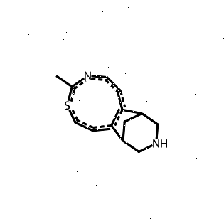 Cc1nccc2c(ccs1)C1CNCC2C1